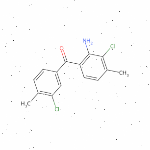 Cc1ccc(C(=O)c2ccc(C)c(Cl)c2N)cc1Cl